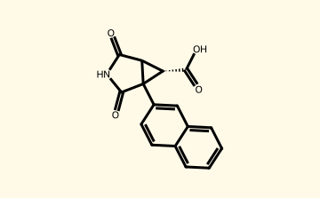 O=C1NC(=O)C2(c3ccc4ccccc4c3)C1[C@@H]2C(=O)O